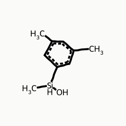 Cc1cc(C)cc([SiH](C)O)c1